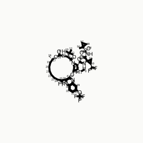 CC[C@@H]1[C@@H]2CN(C(=O)[C@H](C(C)(C)C)NC(=O)O[C@@H](C)CCCCCCC(F)(F)c3nc4ccc(OC(F)(F)F)cc4nc3O2)[C@@H]1C(=O)N[C@]1(C(=O)NS(=O)(=O)C2(C)CC2)C[C@H]1C(F)F